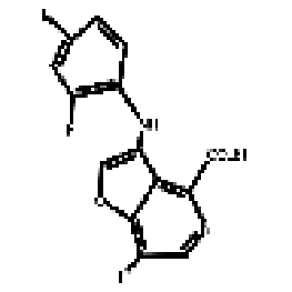 CCOC(=O)c1ncc(F)c2occ(Nc3ccc(I)cc3F)c12